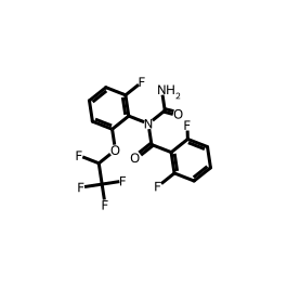 NC(=O)N(C(=O)c1c(F)cccc1F)c1c(F)cccc1OC(F)C(F)(F)F